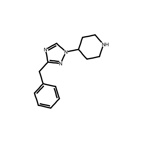 c1ccc(Cc2ncn(C3CCNCC3)n2)cc1